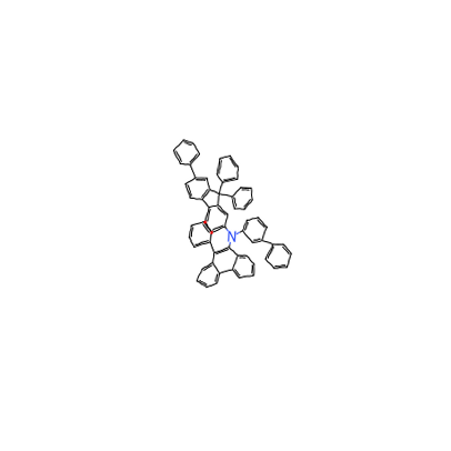 c1ccc(-c2cccc(N(c3ccc4c(c3)C(c3ccccc3)(c3ccccc3)c3cc(-c5ccccc5)ccc3-4)c3c(-c4ccccc4)c4ccccc4c4ccccc34)c2)cc1